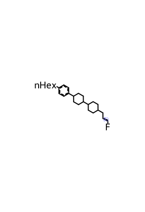 CCCCCCc1ccc(C2CCC(C3CCC(C/C=C/F)CC3)CC2)cc1